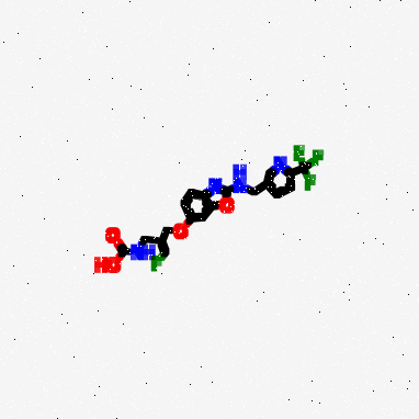 O=C(O)NCC(=CF)COc1ccc2nc(NCc3ccc(C(F)(F)F)nc3)oc2c1